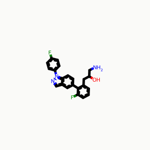 NCC(O)Cc1cccc(F)c1-c1ccc2c(cnn2-c2ccc(F)cc2)c1